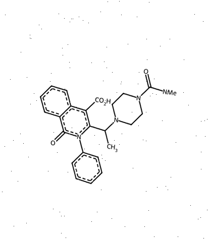 CNC(=O)N1CCN(C(C)c2c(C(=O)O)c3ccccc3c(=O)n2-c2ccccc2)CC1